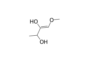 CO/C=C(\O)C(C)O